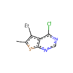 CCc1c(C)sc2ncnc(Cl)c12